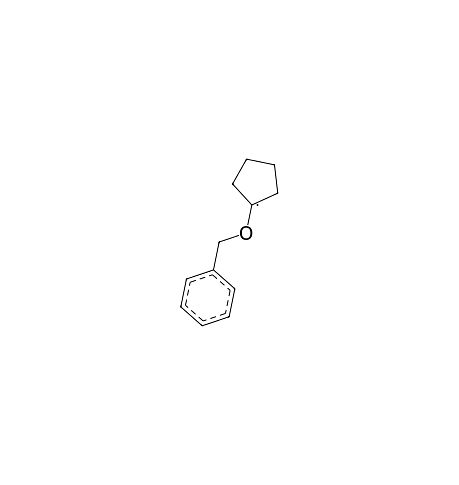 c1ccc(CO[C]2CCCC2)cc1